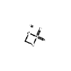 O=S1(=S)OCO1.[Na]